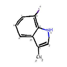 Cc1c[nH]c2c(I)cccc12